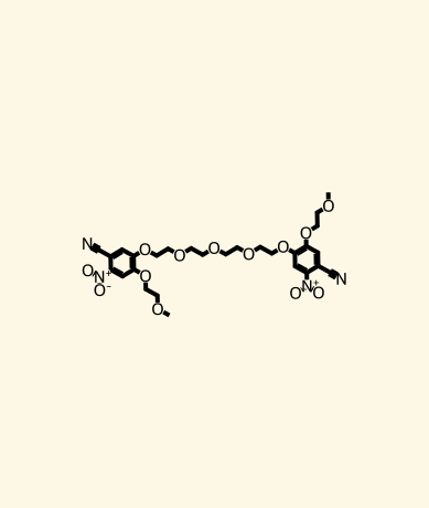 COCCOc1cc([N+](=O)[O-])c(C#N)cc1OCCOCCOCCOCCOc1cc([N+](=O)[O-])c(C#N)cc1OCCOC